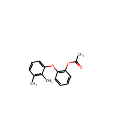 CC(=O)Oc1[c]cccc1Oc1cccc(C)c1C